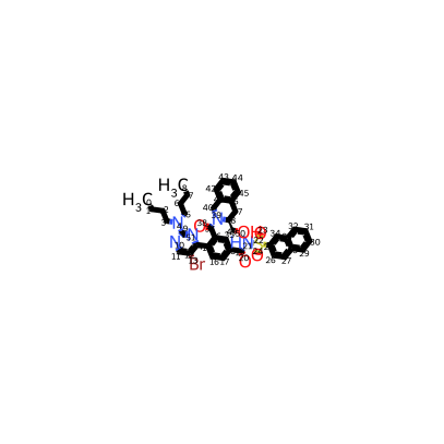 CCCCN(CCCC)c1ncc(Br)c(-c2ccc(C(=O)NS(=O)(=O)c3ccc4ccccc4c3)cc2C(=O)N2Cc3ccccc3C[C@H]2CO)n1